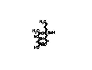 CC(=O)O.CCCCCCCCO.N=CC(=O)O.[NaH]